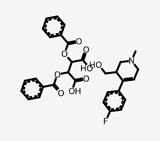 CN1CC=C(c2ccc(F)cc2)C(CO)C1.O=C(OC(C(=O)O)C(OC(=O)c1ccccc1)C(=O)O)c1ccccc1